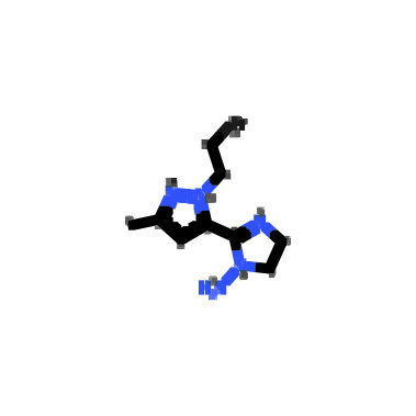 Cc1cc(C2=NCCN2N)n(CCC(C)C)n1